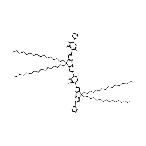 CCCCCCCCCCCCCCCCC1(CCCCCCCCCCCCCCCC)c2cc(-c3cccs3)sc2-c2sc(-c3cc(F)c(-c4cc5c(s4)-c4sc(-c6c(F)cc(-c7cccs7)c7nsnc67)cc4C5(CCCCCCCCCCCCCCCC)CCCCCCCCCCCCCCCC)c4nsnc34)cc21